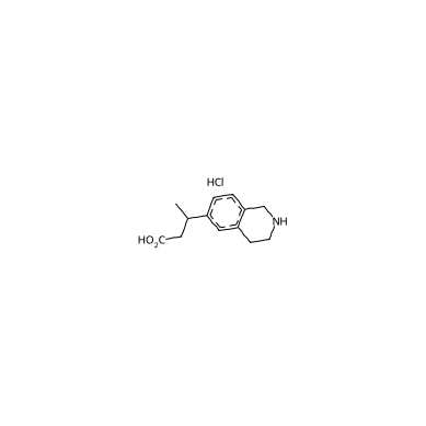 CC(CC(=O)O)c1ccc2c(c1)CCNC2.Cl